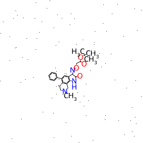 CN1CCc2c(-c3ccccc3)cc3c(c2C1)NC(=O)C3=NOCC(=O)OC(C)(C)C